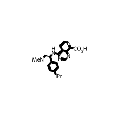 CNC[C@@H](Nc1ncnc2c(C(=O)O)nccc12)c1ccc(C(C)C)cc1